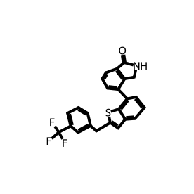 O=C1NCc2c1cccc2-c1cccc2cc(Cc3cccc(C(F)(F)F)c3)sc12